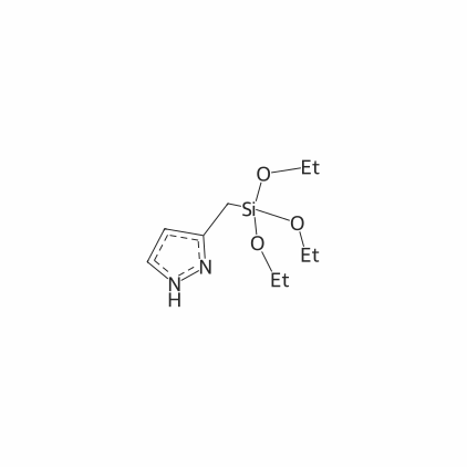 CCO[Si](Cc1cc[nH]n1)(OCC)OCC